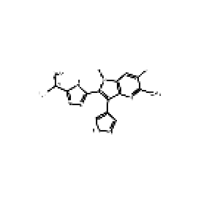 COc1nc2c(-c3cn[nH]c3)c(-c3nnc([C@H](OC)C(F)(F)F)[nH]3)n(C)c2cc1Cl